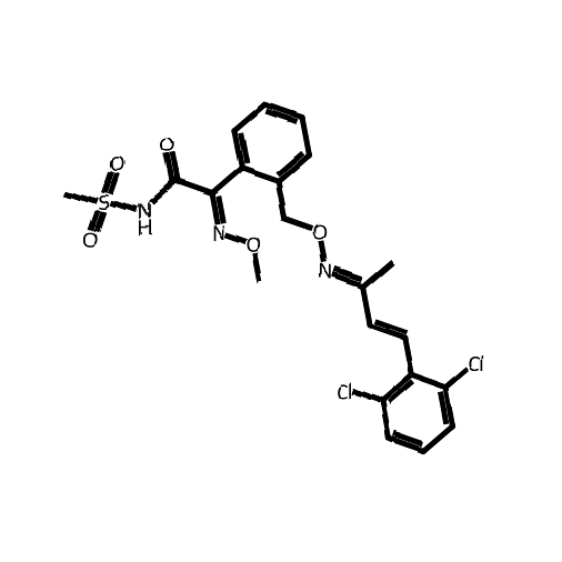 CO/N=C(/C(=O)NS(C)(=O)=O)c1ccccc1CO/N=C(C)/C=C/c1c(Cl)cccc1Cl